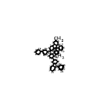 CC1CCC2C(C1)C1CC=C(N(C3=CCC(C4CCC5=C(C4)C4C=CCCC4N5c4ccccc4)C(C)C3)C3C=CC(C4CC=CCC4)=CC3)C=C1C2(C1=CC=CCC1)c1ccccc1